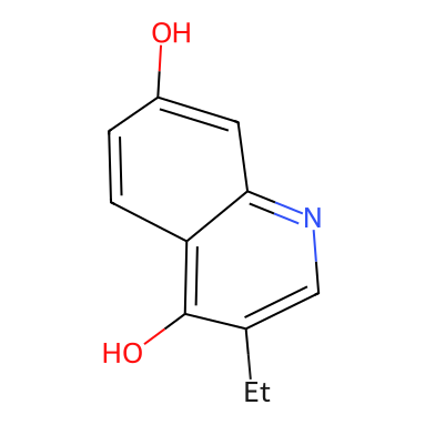 [CH2]Cc1cnc2cc(O)ccc2c1O